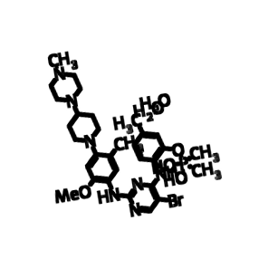 COc1cc(N2CCC(N3CCN(C)CC3)CC2)c(C)cc1Nc1ncc(Br)c(Nc2ccc(C)cc2OP(C)(C)(O)O)n1.O.O